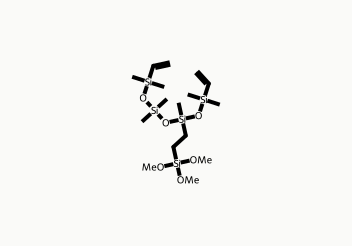 C=C[Si](C)(C)O[Si](C)(C)O[Si](C)(CC[Si](OC)(OC)OC)O[Si](C)(C)C=C